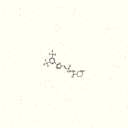 O=C(C=Cn1cnc(-c2cc(C(F)(F)F)cc(C(F)(F)F)c2)n1)NNC(=O)C1CCCNC1